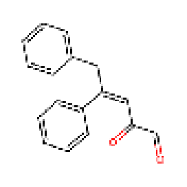 O=CC(=O)C=C(Cc1ccccc1)c1ccccc1